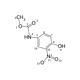 COC(=O)Nc1ccc(O)c([N+](=O)[O-])c1